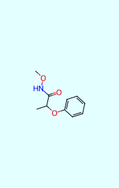 CONC(=O)C(C)Oc1ccccc1